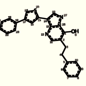 Oc1c(CCc2ccccc2)cnc2c(-c3cc(-c4ccccc4)cs3)cnn12